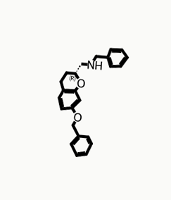 c1ccc(CNC[C@H]2CCc3ccc(OCc4ccccc4)cc3O2)cc1